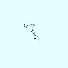 [2H]C(Oc1c(F)cc(F)cc1CNC(=O)c1cc(-c2ccc3nc(NC(C)=O)cn3n2)cnc1OC)C1CC1